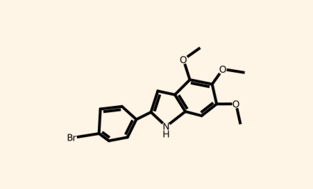 COc1cc2[nH]c(-c3ccc(Br)cc3)cc2c(OC)c1OC